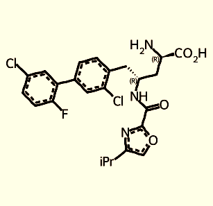 CC(C)c1coc(C(=O)N[C@H](Cc2ccc(-c3cc(Cl)ccc3F)cc2Cl)C[C@@H](N)C(=O)O)n1